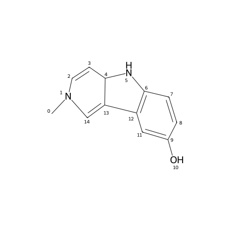 CN1C=CC2Nc3ccc(O)cc3C2=C1